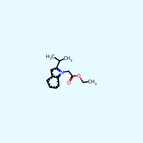 CCOC(=O)Cn1c(C(C)C)cc2ccccc21